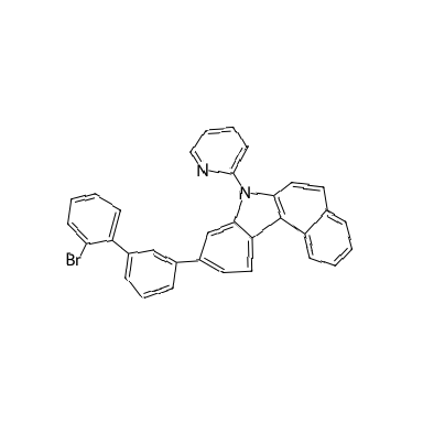 Brc1ccccc1-c1cccc(-c2ccc3c4c5ccccc5ccc4n(-c4ccccn4)c3c2)c1